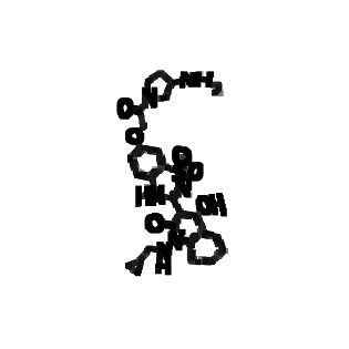 NC1CCN(C(=O)COc2ccc3c(c2)S(=O)(=O)N=C(c2c(O)c4ccccc4n(NCC4CC4)c2=O)N3)C1